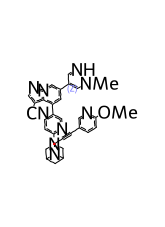 CN/C=C(\C=N)c1cc(-c2ccc(N3CC4CC(C3)N4CC#Cc3ccc(OC)nc3)nc2)c2c(C#N)cnn2c1